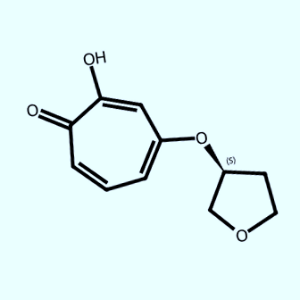 O=c1cccc(O[C@H]2CCOC2)cc1O